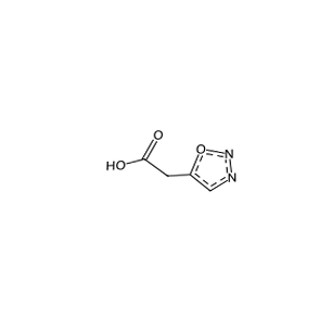 O=C(O)Cc1cnno1